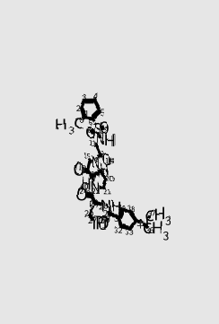 Cc1ccccc1S(=O)(=O)NCC(=O)N1CC(=O)[C@@H]2[C@H]1CCN2C(=O)[C@H](CC(C)C)NC(=O)c1ccc(N(C)C)cc1